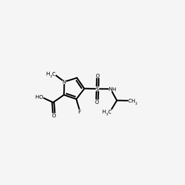 CC(C)NS(=O)(=O)c1cn(C)c(C(=O)O)c1F